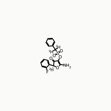 [2H]C([2H])(c1ccccc1)S(=O)(=O)OC1=C(N)O[C@@]([2H])(c2ccccc2F)C1=O